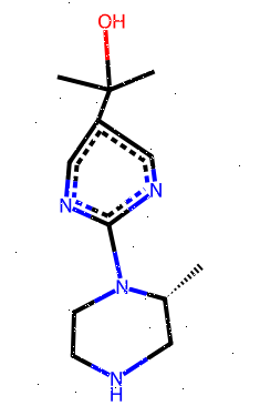 C[C@@H]1CNCCN1c1ncc(C(C)(C)O)cn1